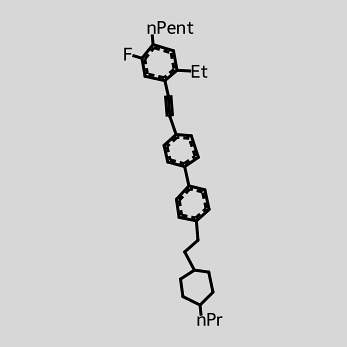 CCCCCc1cc(CC)c(C#Cc2ccc(-c3ccc(CCC4CCC(CCC)CC4)cc3)cc2)cc1F